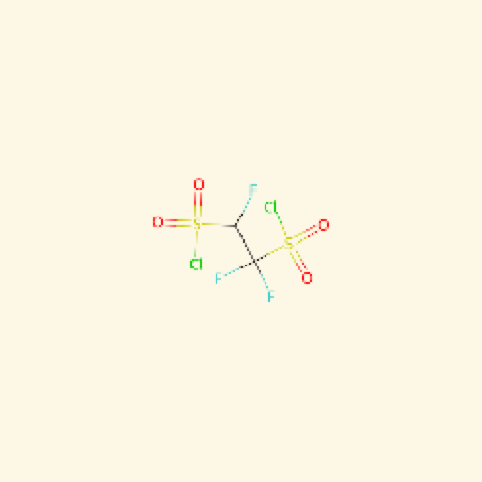 O=S(=O)(Cl)C(F)C(F)(F)S(=O)(=O)Cl